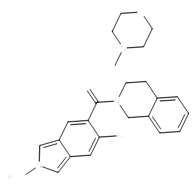 O=C(c1cc2cn(C(=O)O)cc2cc1Br)N1Cc2ccccc2C[C@H]1CN1CCOCC1